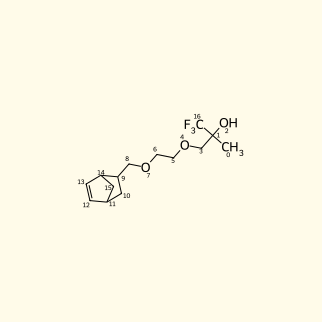 CC(O)(COCCOCC1CC2C=CC1C2)C(F)(F)F